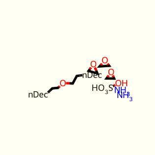 C1CO1.C1CO1.C1CO1.CCCCCCCCCCCCOCCCCCCCCCCCC.N.N.O=S(=O)(O)O